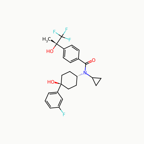 C[C@](O)(c1ccc(C(=O)N(C2CC2)[C@H]2CC[C@@](O)(c3cccc(F)c3)CC2)cc1)C(F)(F)F